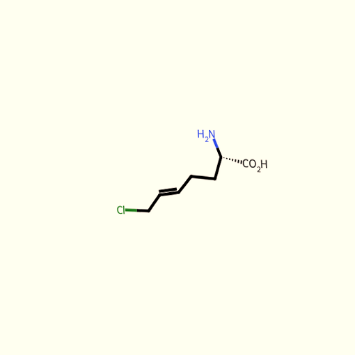 N[C@@H](CC/C=C/CCl)C(=O)O